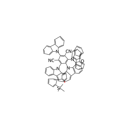 C[Si](C)(C)c1ccccc1-c1ccc2c3ccc4oc5ccccc5c4c3n(-c3c(-n4c5ccccc5c5ccccc54)c(C#N)c(-n4c5ccccc5c5ccccc54)c(C#N)c3-n3c4ccccc4c4ccccc43)c2c1